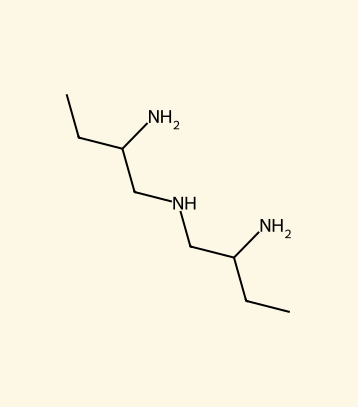 CCC(N)CNCC(N)CC